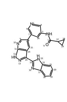 O=C(Nc1cncc(-c2cnc3[nH]nc(-c4nc5ccccc5[nH]4)c3c2)c1)C1CC1